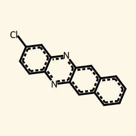 Clc1ccc2nc3cc4ccccc4cc3nc2c1